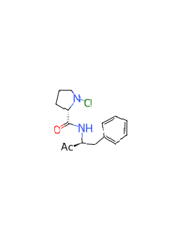 CC(=O)[C@H](Cc1ccccc1)NC(=O)[C@@H]1CCCN1Cl